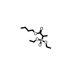 CCCCOC(=O)C(C)P(=O)(OCC)OCC